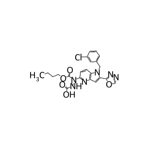 CCCCOC(=O)N(NC(=O)O)c1ccc2c(cc(-c3nnco3)n2Cc2cccc(Cl)c2)n1